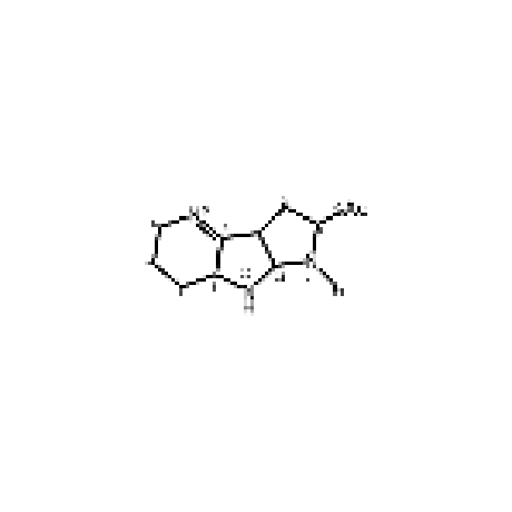 CC(=O)C1CC2C3=NCCCC3NC2N1C